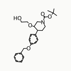 CC(C)(C)OC(=O)N1CCC(c2ccc(OCc3ccccc3)cc2)C(OCCO)C1